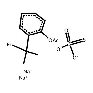 CCC(C)(C)c1ccccc1OC(C)=O.O=S([O-])([O-])=S.[Na+].[Na+]